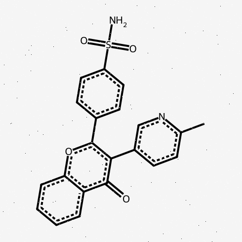 Cc1ccc(-c2c(-c3ccc(S(N)(=O)=O)cc3)oc3ccccc3c2=O)cn1